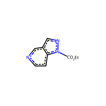 CCOC(=O)n1ncc2cnccc21